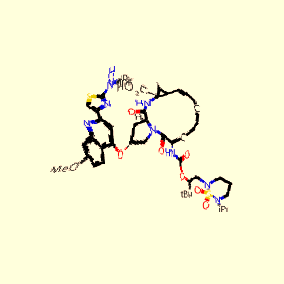 COc1ccc2c(O[C@@H]3C[C@H]4C(=O)N[C@]5(C(=O)O)CC5/C=C\CCCCC[C@H](NC(=O)OC(CN5CCCN(C(C)C)S5(=O)=O)C(C)(C)C)C(=O)N4C3)cc(-c3csc(NC(C)C)n3)nc2c1